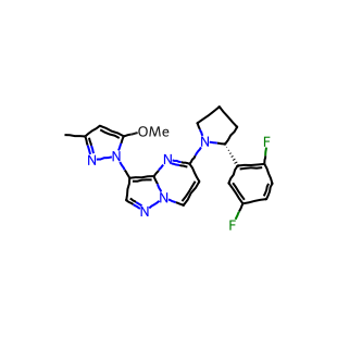 COc1cc(C)nn1-c1cnn2ccc(N3CCC[C@@H]3c3cc(F)ccc3F)nc12